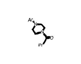 CC(=O)N1CCN(C(=O)C(C)C)CC1